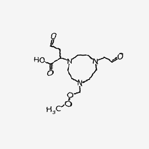 COOCN1CCN(CC=O)CCN(C(CC=O)C(=O)O)CC1